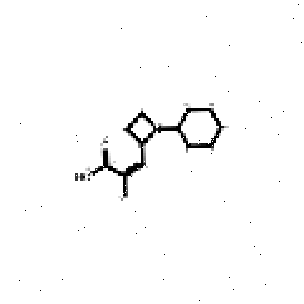 CC(=CC1CCN1C1CCCCC1)C(=O)O